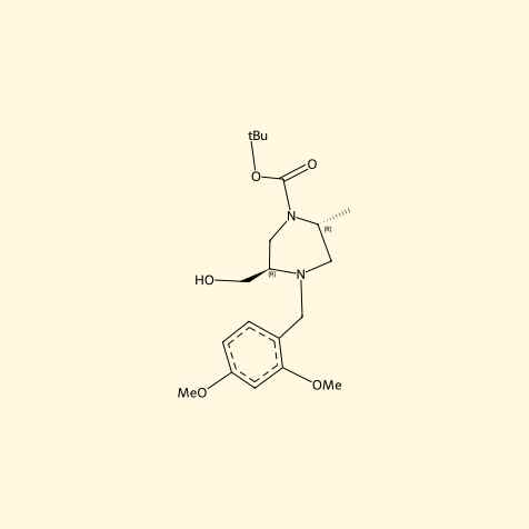 COc1ccc(CN2C[C@@H](C)N(C(=O)OC(C)(C)C)C[C@@H]2CO)c(OC)c1